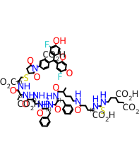 CC(CCCNC(=O)CC[C@H](NC(=S)NCCC(CCC(=O)O)C(=O)O)C(=O)O)C(=O)N[C@@H](Cc1ccccc1)C(=O)N[C@@H](Cc1ccccc1)C(=O)NC[C@H](N)C(=O)N[C@@H](CC(=O)O)C(=O)N[C@@H](CSC1CC(=O)N(c2ccc(-c3c4cc(F)c(=O)cc-4oc4cc(O)c(F)cc34)c(C(=O)O)c2)C1=O)C(=O)O